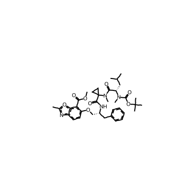 COC(=O)c1c(OC[C@@H](Cc2ccccc2)NC(=O)C2(N(C)C(=O)[C@H](CC(C)C)N(C)C(=O)OC(C)(C)C)CC2)ccc2nc(C)oc12